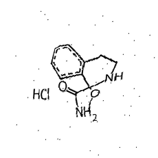 COC1(C(N)=O)NCCc2ccccc21.Cl